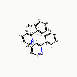 [BeH2].c1ccc(-c2ccccn2)cc1.c1ccc(-c2ccccn2)cc1